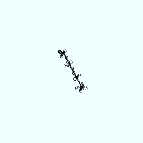 O=C(CCCCC1SCC2NC(=O)NC21)NCCOCCOCCNC(=O)OCCOCCN1C(=O)C2C3C=CC(O3)C2C1=O